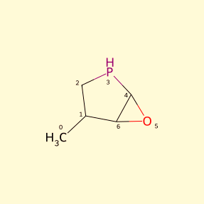 CC1CPC2OC12